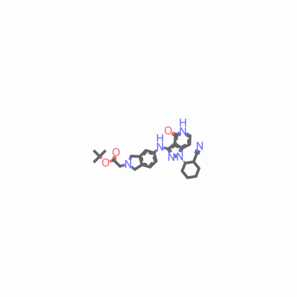 CC(C)(C)OC(=O)CN1Cc2ccc(Nc3nn([C@H]4CCCCC4C#N)c4cc[nH]c(=O)c34)cc2C1